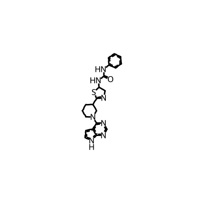 O=C(Nc1ccccc1)NC1CN=C(C2CCCN(c3ncnc4[nH]ccc34)C2)S1